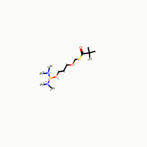 CCC(C)(C)C(=O)SCOCCCOP(N(C(C)C)C(C)C)N(C(C)C)C(C)C